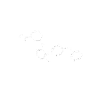 COC(=O)C1CCC[C@H](Nc2ncnc(N)c2-c2ccc(Oc3ccccc3)cc2)C1